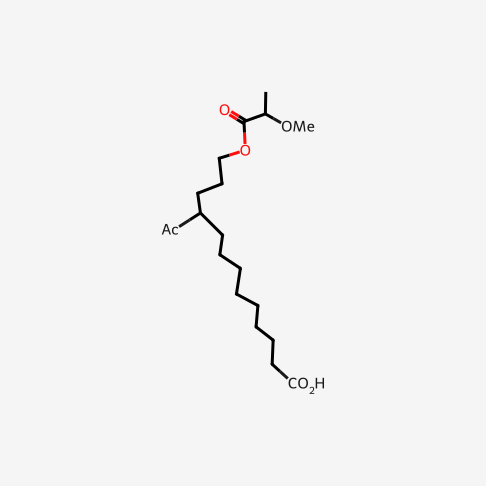 COC(C)C(=O)OCCCC(CCCCCCCCC(=O)O)C(C)=O